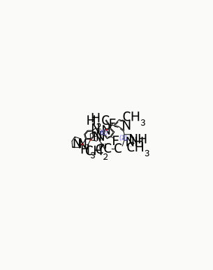 C=C1/N=C2\Nc3ccc(CN4C5CC4CN(C(=C)C4CCN(c6cc(F)cc(F)c6)C4)C5)cc3N2C[C@H](C)CCCC/C(NC)=C(/C=N)c2cc1cc(C)n2